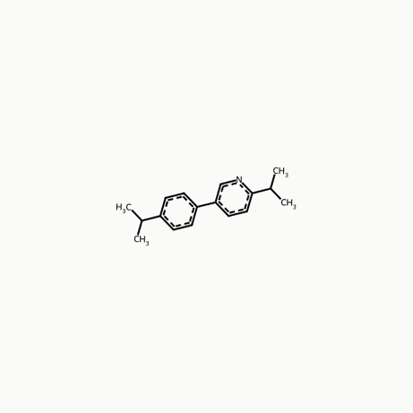 CC(C)c1ccc(-c2ccc(C(C)C)nc2)cc1